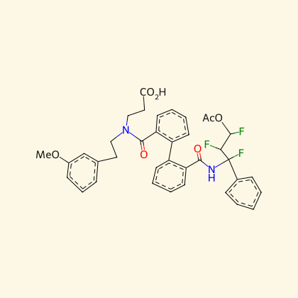 COc1cccc(CCN(CCC(=O)O)C(=O)c2ccccc2-c2ccccc2C(=O)NC(F)(c2ccccc2)C(F)C(F)OC(C)=O)c1